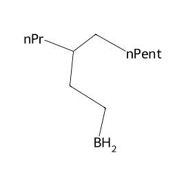 BCCC(CCC)CCCCCC